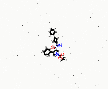 CC(C)(C)OC(=O)N1C[C@@H](C(=O)N[C@H]2C[C@H](c3ccccc3)C2)[C@H](c2ccccc2)C1